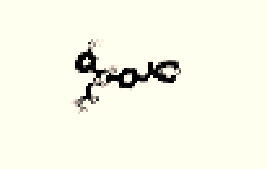 CC(C)NC(=O)CN1N=C(c2ccc(CC(C)N3C4CCC3COC4)cc2)NC1c1cccc(O)c1